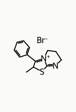 CC1SC2=NCCC[N+]2=C1c1ccccc1.[Br-]